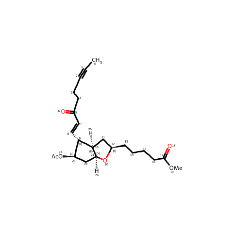 CC#CCCC(=O)C=C[C@@H]1[C@H]2C[C@@H](CCCCC(=O)OC)O[C@H]2C[C@H]1OC(C)=O